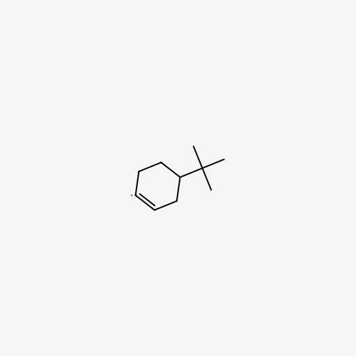 CC(C)(C)C1CC=[C]CC1